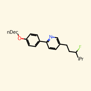 CCCCCCCCCCOc1ccc(-c2ccc(CCC(F)C(C)C)cn2)cc1